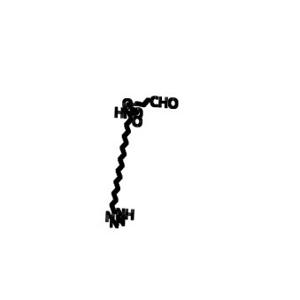 O=CCCCS(=O)(=O)NC(=O)CCCCCCCCCCCCCCCc1nnn[nH]1